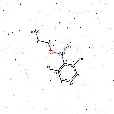 CC(=O)CCON(C(C)=O)c1c(C)cccc1C